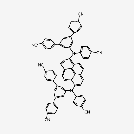 N#Cc1ccc(-c2cc(-c3ccc(C#N)cc3)cc(N(c3ccc(C#N)cc3)c3ccc4ccc5c(N(c6ccc(C#N)cc6)c6cc(-c7ccc(C#N)cc7)cc(-c7ccc(C#N)cc7)c6)ccc6ccc3c4c65)c2)cc1